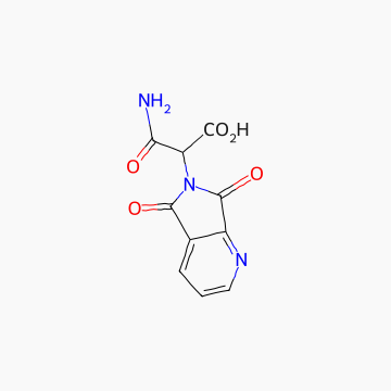 NC(=O)C(C(=O)O)N1C(=O)c2cccnc2C1=O